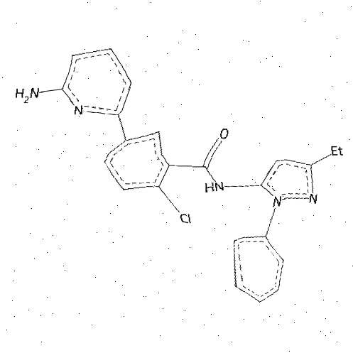 CCc1cc(NC(=O)c2cc(-c3cccc(N)n3)ccc2Cl)n(-c2ccccc2)n1